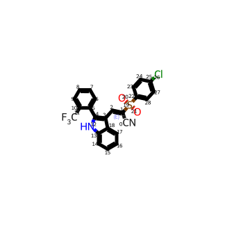 N#C/C(=C\c1c(-c2ccccc2C(F)(F)F)[nH]c2ccccc12)S(=O)(=O)c1ccc(Cl)cc1